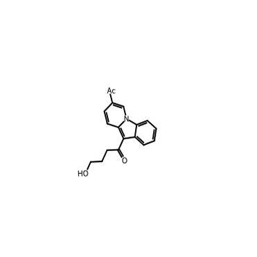 CC(=O)c1ccc2c(C(=O)CCCO)c3ccccc3n2c1